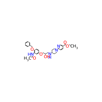 CCOC(=O)c1ccc(N2CCC(NCC(O)COc3ccc(OCc4ccccc4)c(NC(C)=O)c3)CC2)nc1